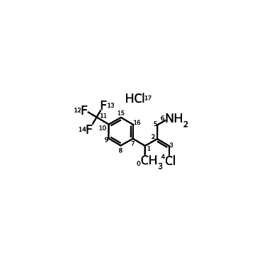 CC(/C(=C\Cl)CN)c1ccc(C(F)(F)F)cc1.Cl